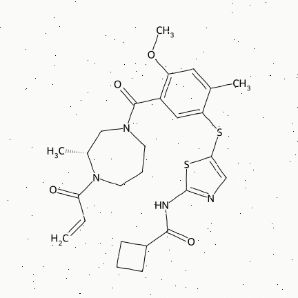 C=CC(=O)N1CCCN(C(=O)c2cc(Sc3cnc(NC(=O)C4CCC4)s3)c(C)cc2OC)C[C@H]1C